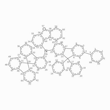 c1ccc(-c2ccc3c(c2)C(c2ccccc2)(c2ccccc2)c2cc(N(c4cccc5c4-c4ccccc4C54c5ccccc5-c5ccccc54)c4cccc5oc6ccccc6c45)ccc2-3)cc1